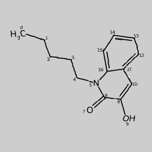 CCCCCn1c(=O)c(O)cc2ccccc21